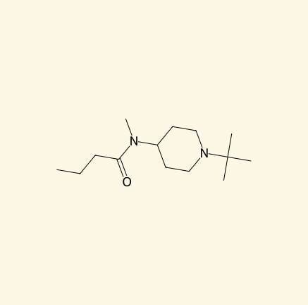 CCCC(=O)N(C)C1CCN(C(C)(C)C)CC1